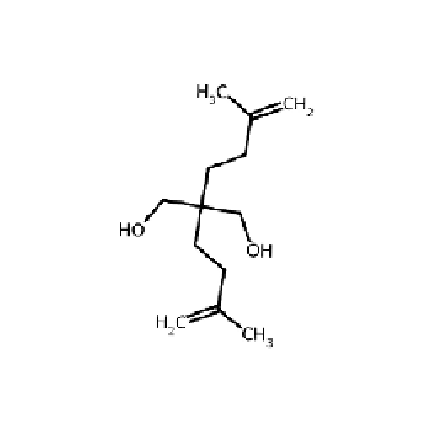 C=C(C)CCC(CO)(CO)CCC(=C)C